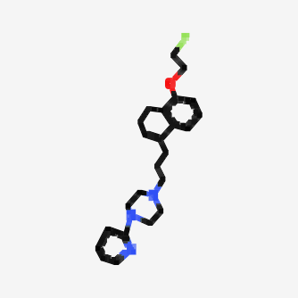 FCCOc1cccc2c1CCC=C2CCCN1CCN(c2ccccn2)CC1